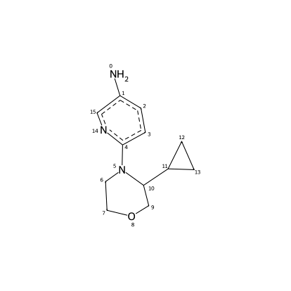 Nc1ccc(N2CCOCC2C2CC2)nc1